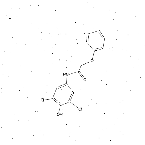 O=C(COc1ccccc1)Nc1cc(Cl)c(O)c(Cl)c1